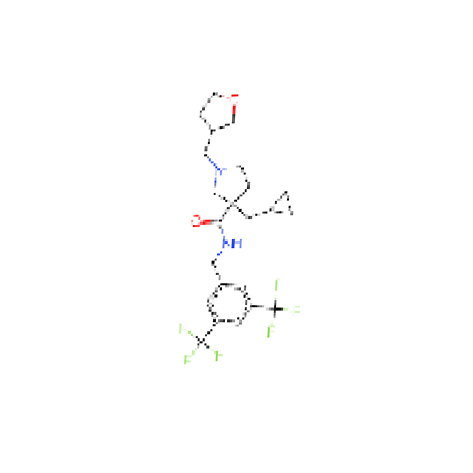 O=C(NCc1cc(C(F)(F)F)cc(C(F)(F)F)c1)C1(CC2CC2)CCN(CC2CCOC2)C1